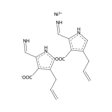 C=CCc1c[nH]c(C=N)c1C(=O)[O-].C=CCc1c[nH]c(C=N)c1C(=O)[O-].[Ni+2]